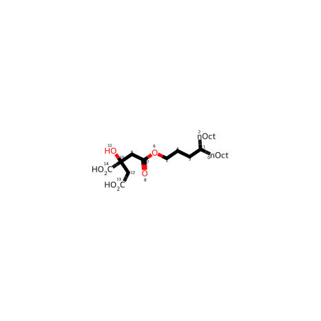 CCCCCCCCC(CCCCCCCC)CCCOC(=O)CC(O)(CC(=O)O)C(=O)O